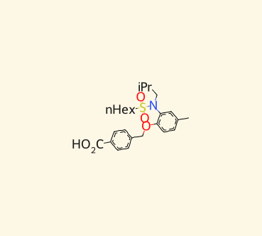 CCCCCCS(=O)(=O)N(CC(C)C)c1cc(C)ccc1OCc1ccc(C(=O)O)cc1